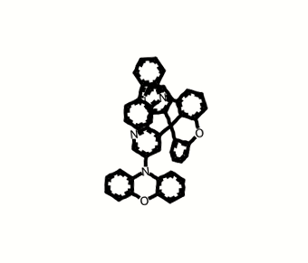 c1ccc2c(c1)Oc1ccccc1N2c1cnc2c(c1)C1(c3ccccc3Oc3cccc(-n4c5ccccc5c5ccccc54)c31)c1cccnc1-2